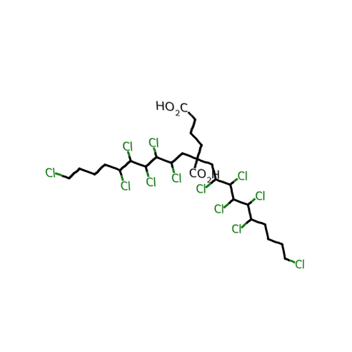 O=C(O)CCCC(CC(Cl)C(Cl)C(Cl)C(Cl)C(Cl)CCCCCl)(CC(Cl)C(Cl)C(Cl)C(Cl)C(Cl)CCCCCl)C(=O)O